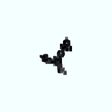 Cc1ccc2[nH]c(C3CCN(c4nc(NCc5ccc(C)o5)nc(OCC(F)(F)F)n4)CC3)nc2c1